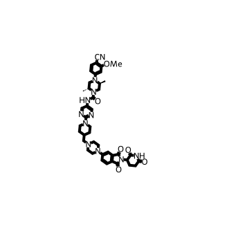 COc1cc(N2C[C@@H](C)N(C(=O)Nc3cnc(N4CCC(CN5CCN(c6ccc7c(c6)C(=O)N(C6CCC(=O)NC6=O)C7=O)CC5)CC4)nc3)C[C@@H]2C)ccc1C#N